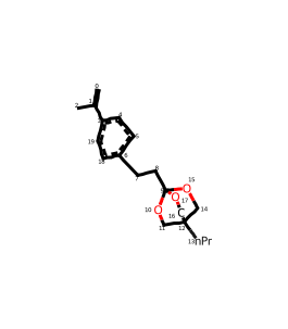 C=C(C)c1ccc(CCC23OCC(CCC)(CO2)CO3)cc1